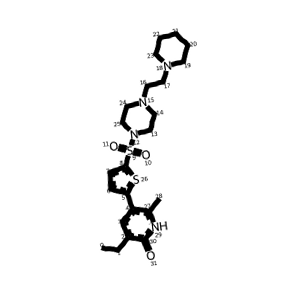 CCc1cc(-c2ccc(S(=O)(=O)N3CCN(CCN4CCCCC4)CC3)s2)c(C)[nH]c1=O